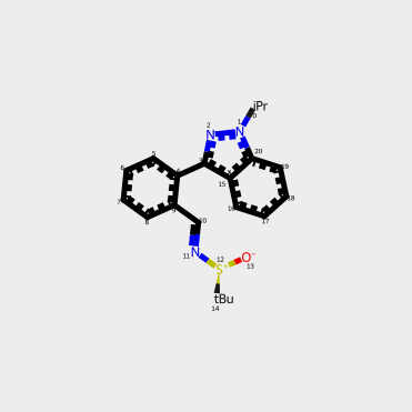 CC(C)n1nc(-c2ccccc2C=N[S@@+]([O-])C(C)(C)C)c2ccccc21